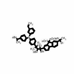 C=Cc1cccc(N(c2ccc(C(C)CCCC)cc2)c2ccc(C(C)(C)C(CCCC)C(CC)(CCC)c3ccc4c(c3)C(CCCCCCCC)(CCCCCCCC)c3cc(C(C)(CC)CCC)ccc3-4)cc2)c1